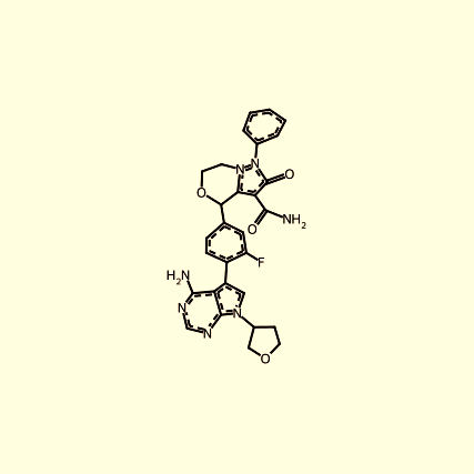 NC(=O)c1c2n(n(-c3ccccc3)c1=O)CCOC2c1ccc(-c2cn(C3CCOC3)c3ncnc(N)c23)c(F)c1